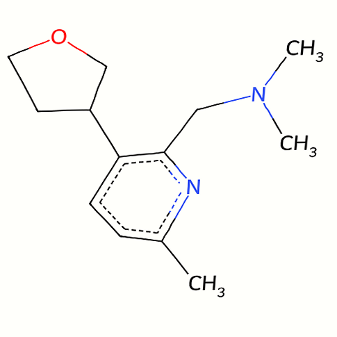 Cc1ccc(C2CCOC2)c(CN(C)C)n1